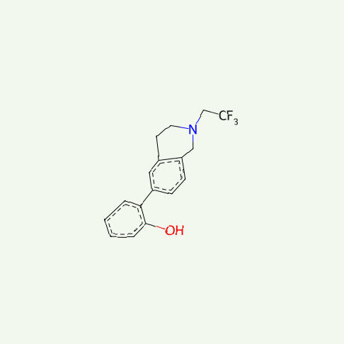 Oc1ccccc1-c1ccc2c(c1)CCN(CC(F)(F)F)C2